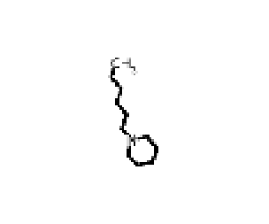 CCCCCCN1CCCCC1